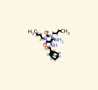 CCCCn1c(N)c(NC(=O)C23CC4CC(CC2C4)C3)c(=O)n(CCCC)c1=O